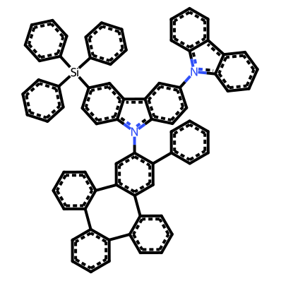 c1ccc(-c2cc3c(cc2-n2c4ccc(-n5c6ccccc6c6ccccc65)cc4c4cc([Si](c5ccccc5)(c5ccccc5)c5ccccc5)ccc42)-c2ccccc2-c2ccccc2-c2ccccc2-3)cc1